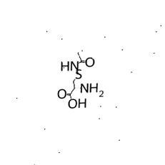 CC(=O)NSC[C@H](N)C(=O)O